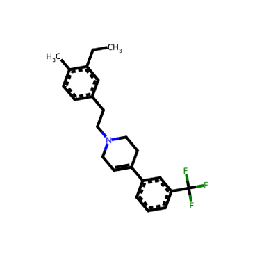 CCc1cc(CCN2CC=C(c3cccc(C(F)(F)F)c3)CC2)ccc1C